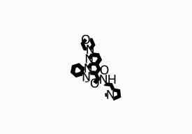 CN1CCCC1CCNC(=O)c1c(=O)c2ccc(N3CCOCC3)nc2n2c3ccccc3n(C)c12